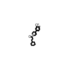 O=C(CCC1CCCCC1)N1CC=C(c2cccc(C(F)(F)F)c2)CC1